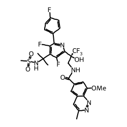 COc1cc(C(=O)NC[C@@](O)(c2nc(-c3ccc(F)cc3)c(F)c(C(C)(C)NS(C)(=O)=O)c2F)C(F)(F)F)cc2cc(C)nnc12